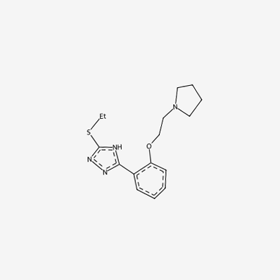 CCSc1nnc(-c2ccccc2OCCN2CCCC2)[nH]1